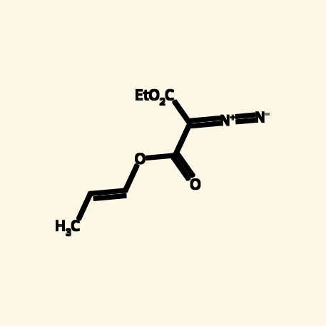 CC=COC(=O)C(=[N+]=[N-])C(=O)OCC